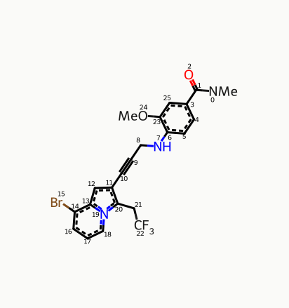 CNC(=O)c1ccc(NCC#Cc2cc3c(Br)cccn3c2CC(F)(F)F)c(OC)c1